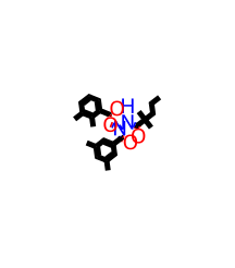 CCCC(C)(C)C(=O)NN(OC(=O)c1cccc(C)c1C)C(=O)c1cc(C)cc(C)c1